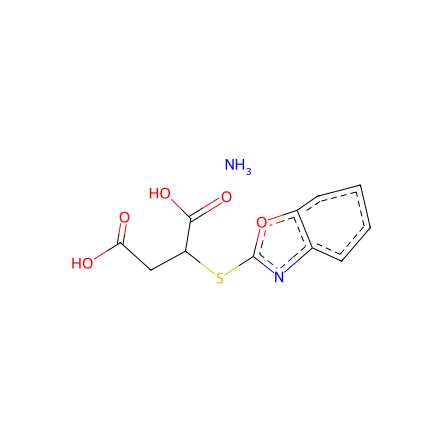 N.O=C(O)CC(Sc1nc2ccccc2o1)C(=O)O